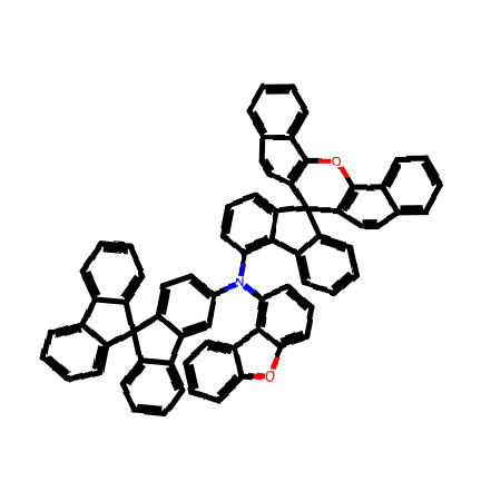 c1ccc2c(c1)-c1ccccc1C21c2ccccc2-c2cc(N(c3cccc4c3-c3ccccc3C43c4ccc5ccccc5c4Oc4c3ccc3ccccc43)c3cccc4oc5ccccc5c34)ccc21